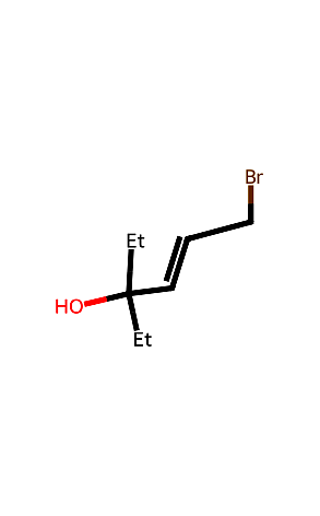 CCC(O)(C=CCBr)CC